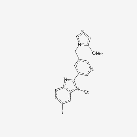 CCn1c(-c2cncc(Cn3cncc3OC)c2)nc2ccc(I)cc21